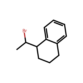 CC(Br)C1CCCc2ccccc21